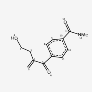 C=C(CCO)C(=O)c1ccc(C(=O)NC)cc1